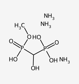 COP(=O)(O)C(O)P(=O)(O)O.N.N.N